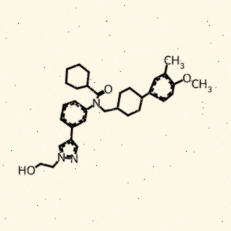 COc1ccc(C2CCC(CN(C(=O)C3CCCCC3)c3cccc(-c4cnn(CCO)c4)c3)CC2)cc1C